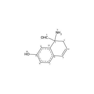 NC1(C=O)CC=Cc2ccc(O)cc21